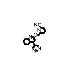 N#Cc1cccc(COc2cc(-c3cncnc3)c3c(n2)CCCC3)n1